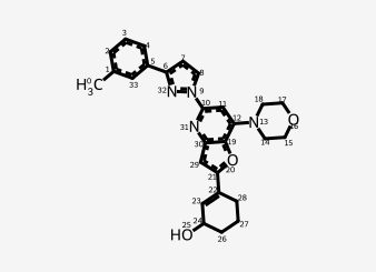 Cc1cccc(-c2ccn(-c3cc(N4CCOCC4)c4oc(C5=CC(O)CCC5)cc4n3)n2)c1